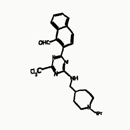 CC(C)N1CCC(CNc2nc(-c3ccc4ccccc4c3C=O)nc(C(Cl)(Cl)Cl)n2)CC1